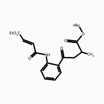 CCCCOC(=O)C(C)CC(=O)c1ccccc1NC(=O)/C=C/C(=O)OCC